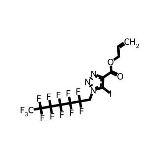 C=CCOC(=O)c1nnn(CC(F)(F)C(F)(F)C(F)(F)C(F)(F)C(F)(F)C(F)(F)F)c1I